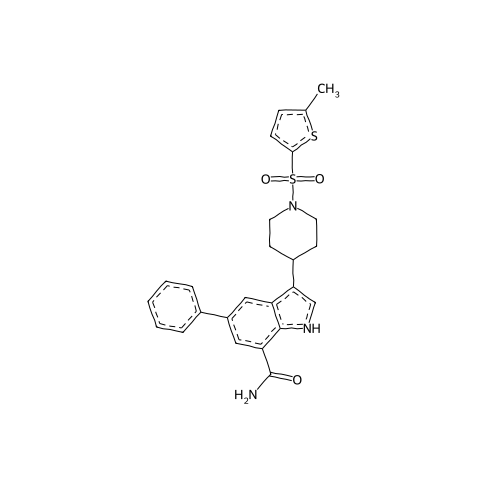 Cc1ccc(S(=O)(=O)N2CCC(c3c[nH]c4c(C(N)=O)cc(-c5ccccc5)cc34)CC2)s1